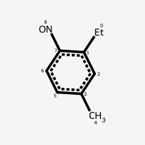 CCc1cc(C)ccc1N=O